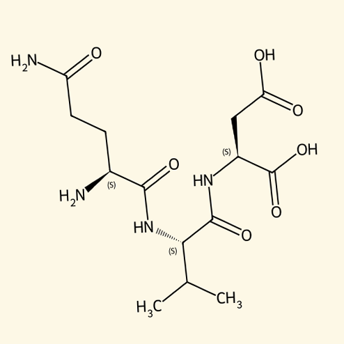 CC(C)[C@H](NC(=O)[C@@H](N)CCC(N)=O)C(=O)N[C@@H](CC(=O)O)C(=O)O